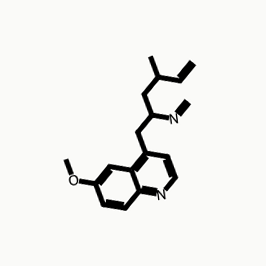 C=CC(C)CC(Cc1ccnc2ccc(OC)cc12)N=C